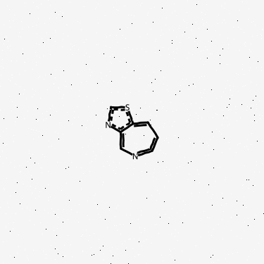 C1=CC=c2scnc2=CN=1